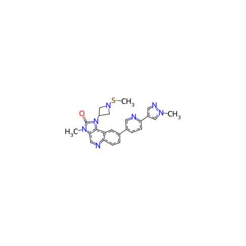 CSN1CC(n2c(=O)n(C)c3cnc4ccc(-c5ccc(-c6cnn(C)c6)nc5)cc4c32)C1